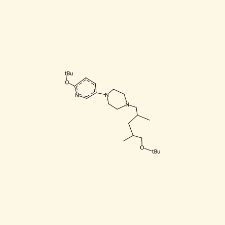 CC(COC(C)(C)C)CC(C)CN1CCN(c2ccc(OC(C)(C)C)nc2)CC1